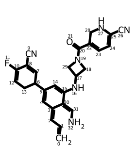 C=C/C=c1/cc(C2C=C(C#N)C(F)=CC2)cc(NC2CN(C(=O)C3=CC=C(C#N)NC3)C2)/c1=C/N